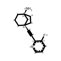 N[C@@]12CCC[C@@](C#Cc3ncccc3F)(CC1)C2